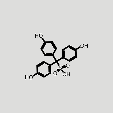 O=S(=O)(O)C(c1ccc(O)cc1)(c1ccc(O)cc1)c1ccc(O)cc1